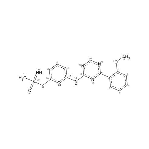 COc1ccccc1-c1ncnc(Nc2cccc(CS(C)(=N)=O)c2)n1